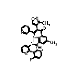 Cc1cc([C@@H](C)Nc2cccnc2-c2ccccc2F)c2oc(-c3cccnc3)c(-c3conc3C)c(=O)c2c1